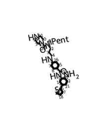 CCCCCN(CCCNc1ccc(C(=O)Nc2cc(-c3cccs3)ccc2N)cc1)C(=O)N1CCNCC1